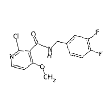 COc1ccnc(Cl)c1C(=O)NCc1ccc(F)c(F)c1